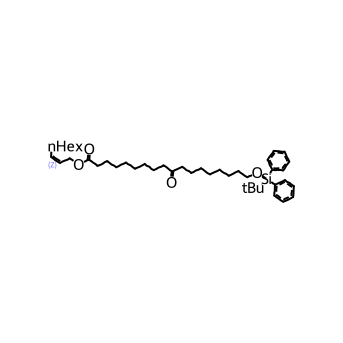 CCCCCC/C=C\COC(=O)CCCCCCCCC(=O)CCCCCCCCO[Si](c1ccccc1)(c1ccccc1)C(C)(C)C